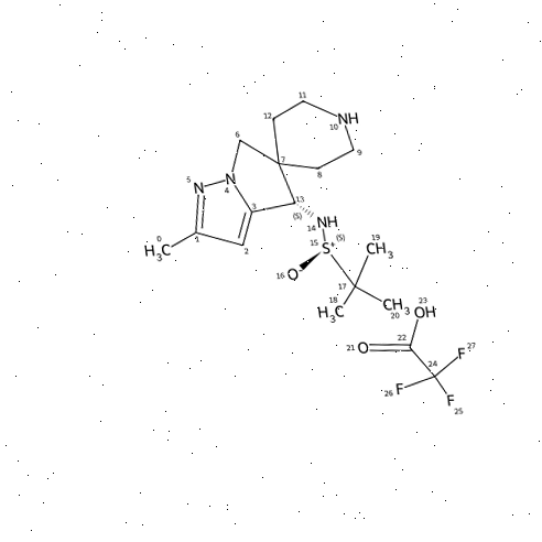 Cc1cc2n(n1)CC1(CCNCC1)[C@@H]2N[S@+]([O-])C(C)(C)C.O=C(O)C(F)(F)F